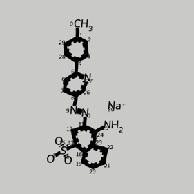 Cc1ccc(-c2ccc(N=Nc3cc(S(=O)(=O)[O-])c4ccccc4c3N)cn2)cc1.[Na+]